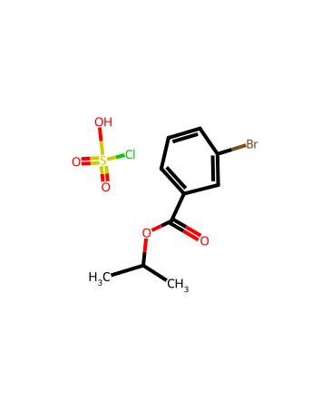 CC(C)OC(=O)c1cccc(Br)c1.O=S(=O)(O)Cl